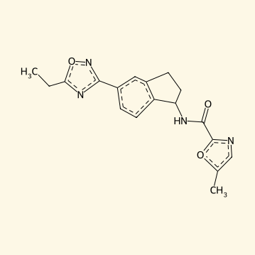 CCc1nc(-c2ccc3c(c2)CCC3NC(=O)c2ncc(C)o2)no1